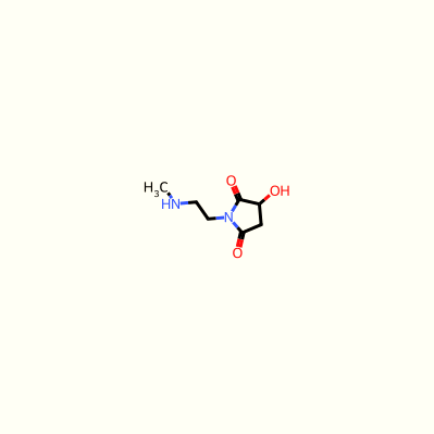 CNCCN1C(=O)CC(O)C1=O